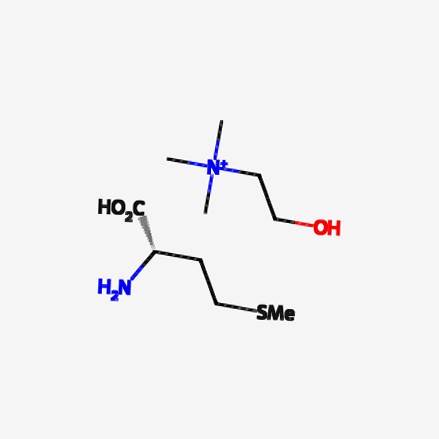 CSCC[C@H](N)C(=O)O.C[N+](C)(C)CCO